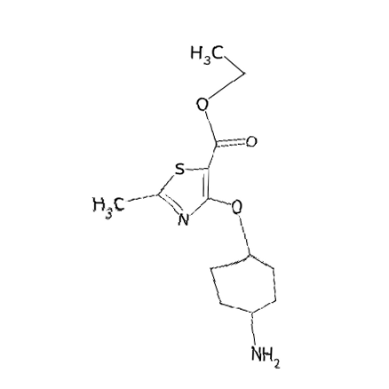 CCOC(=O)c1sc(C)nc1OC1CCC(N)CC1